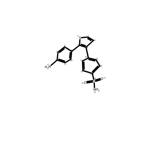 Nc1ccc(-c2sccc2-c2ccc(S(N)(=O)=O)cc2)cc1